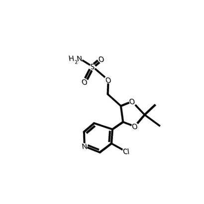 CC1(C)OC(COS(N)(=O)=O)C(c2ccncc2Cl)O1